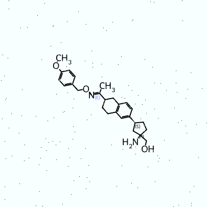 COc1ccc(CO/N=C(\C)C2CCc3cc([C@H]4CC[C@](N)(CO)C4)ccc3C2)cc1